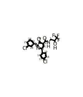 O=C(NCC(O)C(F)(F)F)c1cc(-c2ccc(Cl)cc2)nn(-c2cccc(Cl)c2)c1=O